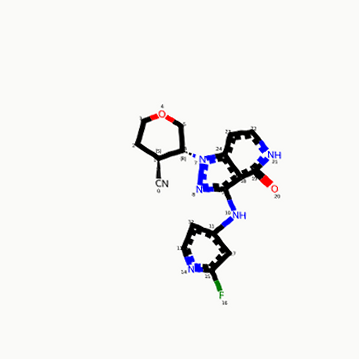 N#C[C@H]1CCOC[C@@H]1n1nc(Nc2ccnc(F)c2)c2c(=O)[nH]ccc21